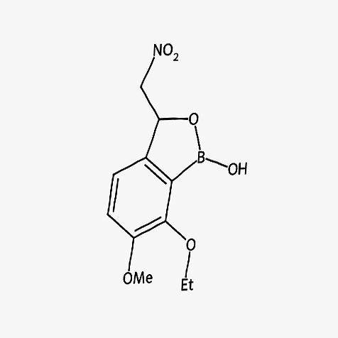 CCOc1c(OC)ccc2c1B(O)OC2C[N+](=O)[O-]